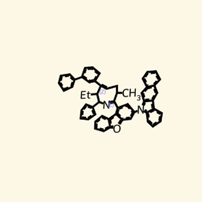 CCC1/C(c2cccc(-c3ccccc3)c2)=C/CC(C)/C(c2cc(-n3c4ccccc4c4cc5ccccc5cc43)cc3oc4ccccc4c23)=N\C1c1ccccc1